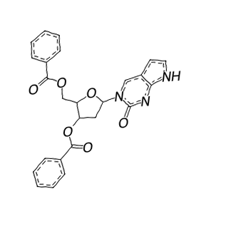 O=C(OCC1OC(n2cc3cc[nH]c3nc2=O)CC1OC(=O)c1ccccc1)c1ccccc1